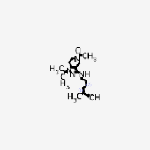 C#C/C(C)=C\C=C/CNc1nn(C(C)C)c2c1CN(C(C)=O)CC2